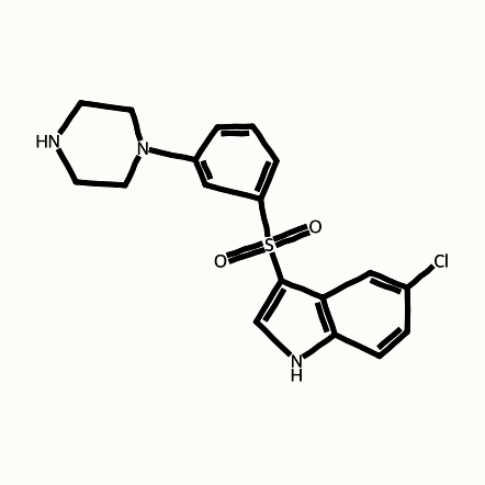 O=S(=O)(c1cccc(N2CCNCC2)c1)c1c[nH]c2ccc(Cl)cc12